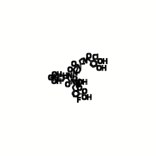 O=C(O)c1c(F)ccc2c1OB(O)[C@@H](NC(=O)C(NC(=O)N1CCN(C3CCN(C(=O)c4ccc(O)c(O)c4Cl)C3)C(=O)C1=O)c1ccc(P(=O)(O)O)cc1)C2